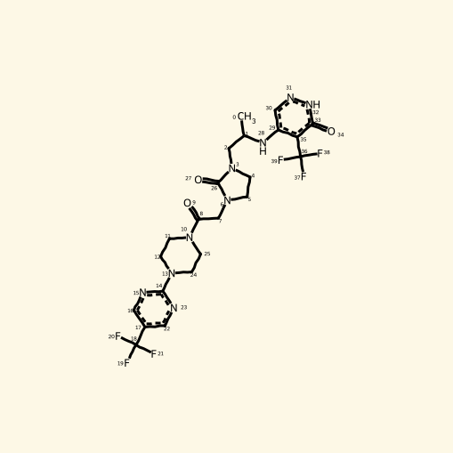 CC(CN1CCN(CC(=O)N2CCN(c3ncc(C(F)(F)F)cn3)CC2)C1=O)Nc1cn[nH]c(=O)c1C(F)(F)F